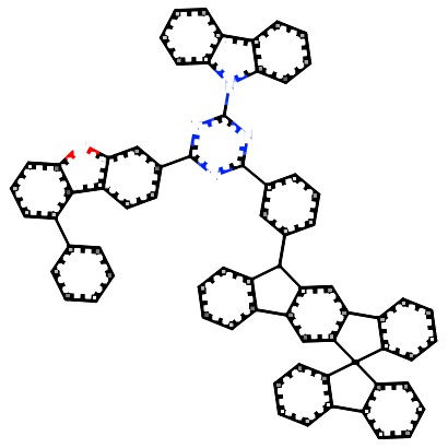 c1ccc(-c2cccc3oc4cc(-c5nc(-c6cccc(C7c8ccccc8-c8cc9c(cc87)-c7ccccc7C97c8ccccc8-c8ccccc87)c6)nc(-n6c7ccccc7c7ccccc76)n5)ccc4c23)cc1